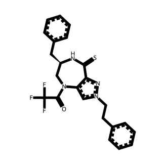 O=C(N1C[C@@H](Cc2ccccc2)NC(=S)c2nn(CCc3ccccc3)cc21)C(F)(F)F